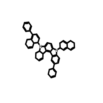 C1=CCCC(c2ccc3c(c2)c2c4c(ccc2n3C2C=C3C=CCCC3=CC2)N(C2C=CC(c3ccccc3)=C3CCC=CC32)C2CCC=CC42)=C1